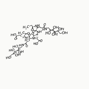 CCC(=O)N[C@@H](CCC(=O)NC[C@H](O)[C@@H](O)[C@H](O)[C@H](O)CO)C(=O)N[C@H](CCC(=O)O)C(=O)N[C@@H](CCC(=O)NC[C@H](O)[C@@H](O)[C@H](O)[C@H](O)CO)C(=O)N[C@H](CCC(=O)O)C(C)=O